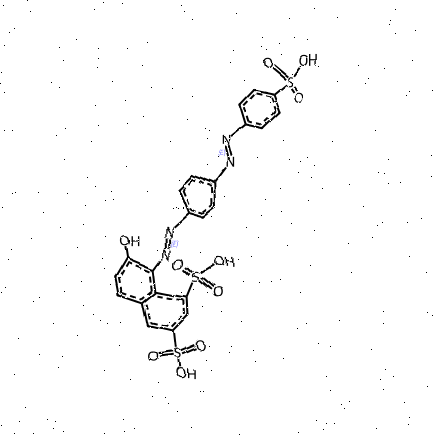 O=S(=O)(O)c1ccc(/N=N/c2ccc(/N=N/c3c(O)ccc4cc(S(=O)(=O)O)cc(S(=O)(=O)O)c34)cc2)cc1